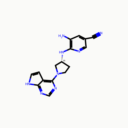 N#Cc1cnc(N[C@@H]2CCN(c3ncnc4[nH]ccc34)C2)c(N)c1